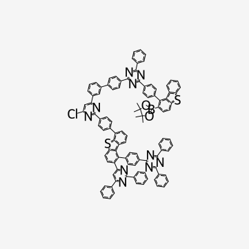 CC1(C)OB(c2ccc3sc4ccccc4c3c2-c2ccc(-c3nc(-c4ccccc4)nc(-c4ccc(-c5cccc(-c6cc(Cl)nc(-c7ccc(-c8cccc9c8sc8ccc(-c%10cc(-c%11ccccc%11)nc(-c%11ccccc%11)n%10)c(-c%10ccc(-c%11nc(-c%12ccccc%12)nc(-c%12ccccc%12)n%11)cc%10)c89)cc7)n6)c5)cc4)n3)cc2)OC1(C)C